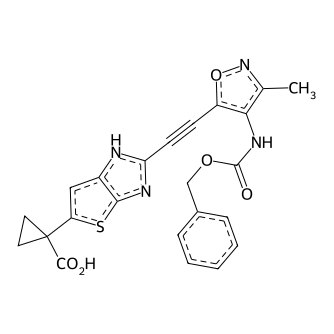 Cc1noc(C#Cc2nc3sc(C4(C(=O)O)CC4)cc3[nH]2)c1NC(=O)OCc1ccccc1